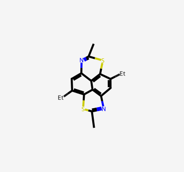 CCc1cc2c3c(c(CC)cc4c3c1SC(C)=N4)SC(C)=N2